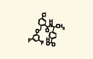 CC(NC(=O)c1cc(Cl)ccc1COc1cc(F)cc(F)c1)c1ccc(C(=O)O)cc1